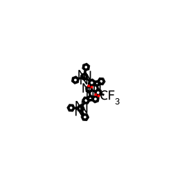 FC(F)(F)c1ccc(-c2ccncc2-n2c3ccccc3c3cc(-c4nc(-c5ccccc5)nc(-c5ccccc5)n4)ccc32)c(-n2c3ccccc3c3cc(-c4nc(-c5ccccc5)nc(-c5ccccc5)n4)ccc32)c1